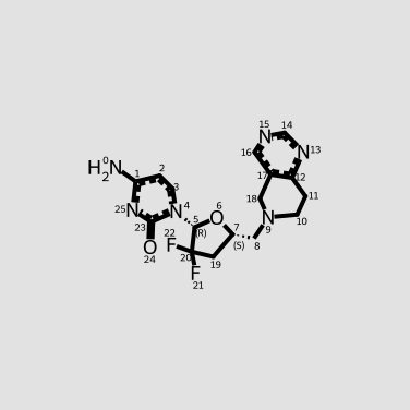 Nc1ccn([C@@H]2O[C@H](CN3CCc4ncncc4C3)CC2(F)F)c(=O)n1